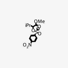 COC(=O)C(OS(=O)(=O)c1ccc([N+](=O)[O-])cc1)C(C)C